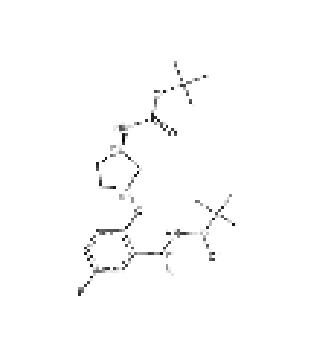 C[C@@H](N[S+]([O-])C(C)(C)C)c1cc(F)ccc1O[C@@H]1CC[C@@H](NC(=O)OC(C)(C)C)C1